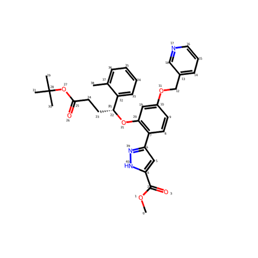 COC(=O)c1cc(-c2ccc(OCc3cccnc3)cc2O[C@H](CCC(=O)OC(C)(C)C)c2ccccc2C)n[nH]1